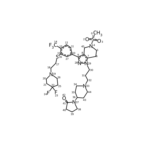 CS(=O)(=O)N1CCc2c(c(-c3ccc(C(F)(F)F)c(SCCN4CCC(F)(F)CC4)c3)nn2CCCN2CCC(N3CCCC3=O)CC2)C1